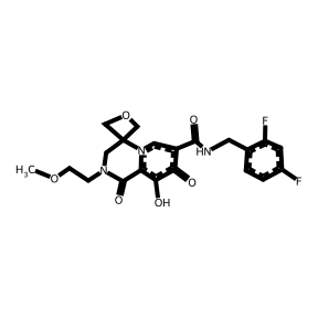 COCCN1CC2(COC2)n2cc(C(=O)NCc3ccc(F)cc3F)c(=O)c(O)c2C1=O